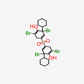 O=S(=O)(C1=CC(Br)(C2CCCCC2)C(O)=C(Br)C1)C1=CC(Br)(C2CCCCC2)C(O)=C(Br)C1